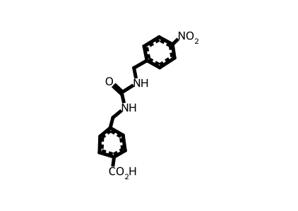 O=C(NCc1ccc(C(=O)O)cc1)NCc1ccc([N+](=O)[O-])cc1